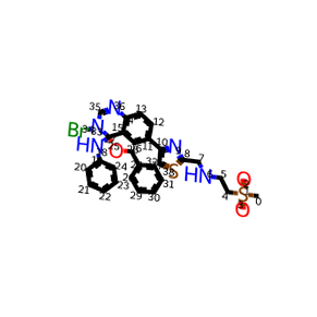 CS(=O)(=O)CCNCc1nc(-c2ccc3c(c2)C(Nc2ccccc2)(OCc2ccccc2)N(Br)C=N3)cs1